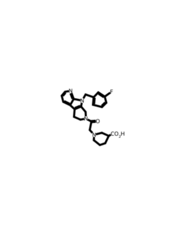 O=C(O)C1CCCN(CC(=O)N2CCc3c(n(Cc4cccc(F)c4)c4ncccc34)C2)C1